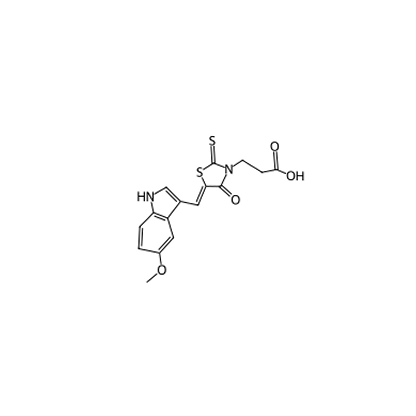 COc1ccc2[nH]cc(C=C3SC(=S)N(CCC(=O)O)C3=O)c2c1